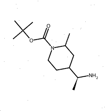 CC1CC([C@H](C)N)CCN1C(=O)OC(C)(C)C